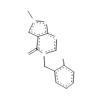 Cn1cc2c(=O)n(Cc3ccccc3Cl)cnc2n1